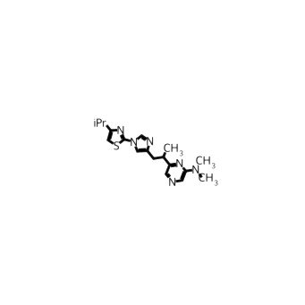 CC(C)c1csc(-n2cnc(CC(C)c3cncc(N(C)C)n3)c2)n1